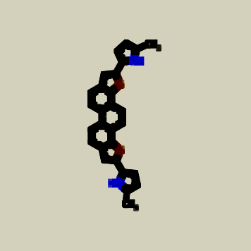 Cc1ccc(-c2cc3ccc4c5ccc6cc(-c7ccc(C)[nH]7)sc6c5ccc4c3s2)[nH]1